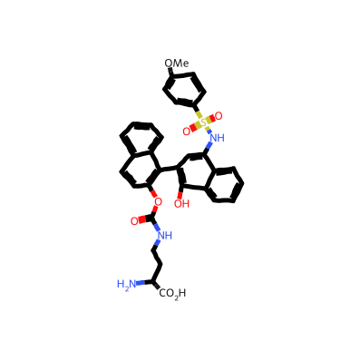 COc1ccc(S(=O)(=O)Nc2cc(-c3c(OC(=O)NCCC(N)C(=O)O)ccc4ccccc34)c(O)c3ccccc23)cc1